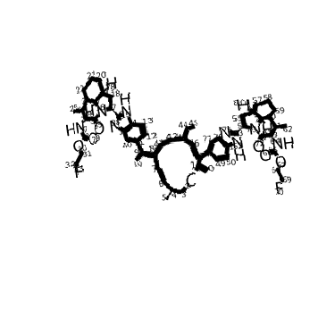 C=C1CC[C@@H](C)/C=C\C(=C(/C)c2ccc3[nH]c([C@@H]4C[C@@H]5CCCC6C(C)[C@H](NC(=O)OCCF)C(=O)N4[C@@H]65)nc3c2)CCC(=C/C)/C=C\1c1ccc2[nH]c([C@@H]3C[C@@H]4CCCC5C(C)[C@H](NC(=O)OCCF)C(=O)N3[C@@H]54)nc2c1